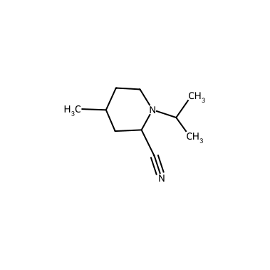 CC1CCN(C(C)C)C(C#N)C1